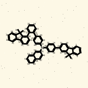 CC1(C)c2ccccc2-c2ccc(-c3ccc(N(c4ccc(-c5ccccc5-c5cccc6c5C(C)(C)c5ccccc5-6)cc4)c4ccc5ccccc5c4)cc3)cc21